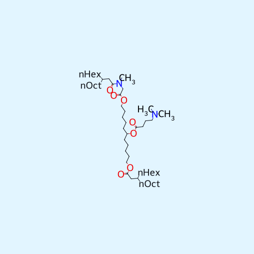 CCCCCCCCC(CCCCCC)CC(=O)OCCCCCC(CCCCCOC(=O)CN(C)C(=O)CC(CCCCCC)CCCCCCCC)OC(=O)CCCN(C)C